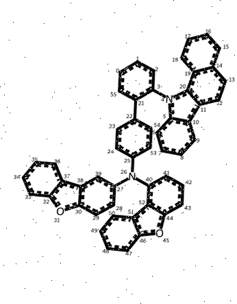 c1ccc(-n2c3ccccc3c3ccc4ccccc4c32)c(-c2ccc(N(c3ccc4oc5ccccc5c4c3)c3cccc4oc5ccccc5c34)cc2)c1